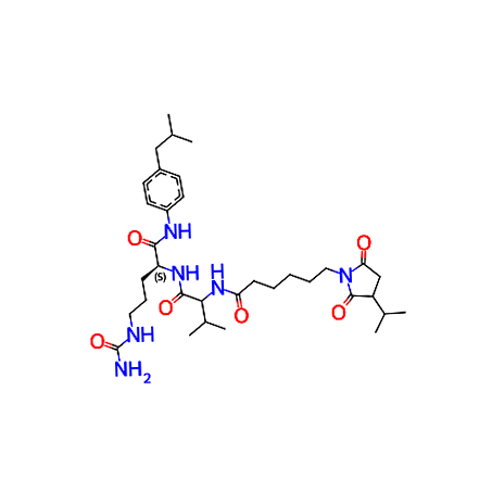 CC(C)Cc1ccc(NC(=O)[C@H](CCCNC(N)=O)NC(=O)C(NC(=O)CCCCCN2C(=O)CC(C(C)C)C2=O)C(C)C)cc1